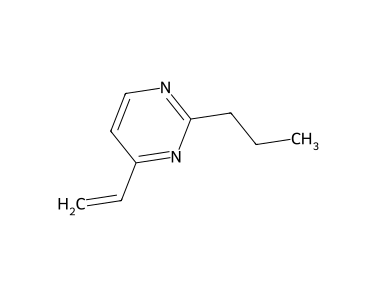 C=Cc1ccnc(CCC)n1